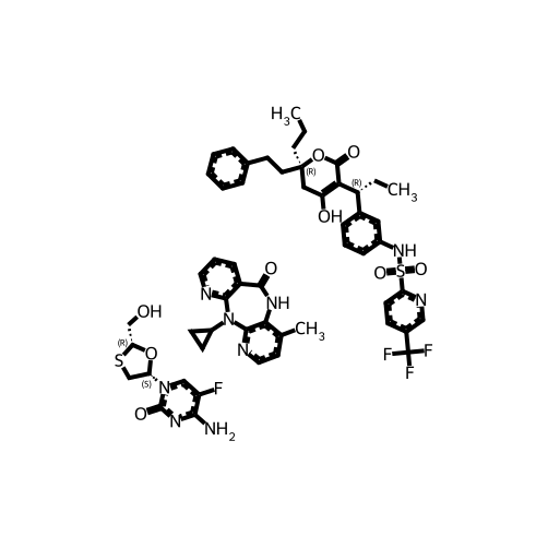 CCC[C@@]1(CCc2ccccc2)CC(O)=C([C@H](CC)c2cccc(NS(=O)(=O)c3ccc(C(F)(F)F)cn3)c2)C(=O)O1.Cc1ccnc2c1NC(=O)c1cccnc1N2C1CC1.Nc1nc(=O)n([C@@H]2CS[C@H](CO)O2)cc1F